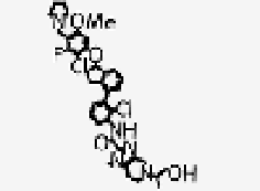 COc1cc(OC2CCc3c(-c4cccc(NC(=O)c5nc6c(n5C)CCN(C(C)CO)C6)c4Cl)cccc32)c(Cl)c(F)c1CN1CCCC1